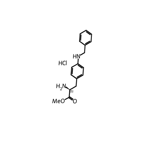 COC(=O)[C@@H](N)Cc1ccc(NCc2ccccc2)cc1.Cl